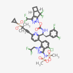 CC(C)(C#Cc1ccc(-c2ccc(Cl)c3c(N(S(C)(=O)=O)S(C)(=O)=O)nn(CC(F)F)c23)c([C@H](Cc2cc(F)cc(F)c2)NC(=O)On2nc(C(F)F)c3c2C(F)(F)[C@@H]2CC[C@H]32)n1)S(=O)(=O)C1CC1